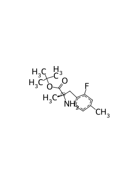 Cc1ccc(C[C@](C)(N)C(=O)OC(C)(C)C)c(F)c1